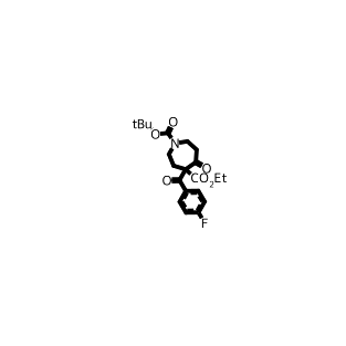 CCOC(=O)C1(C(=O)c2ccc(F)cc2)CCN(C(=O)OC(C)(C)C)CCC1=O